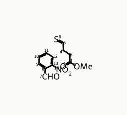 COC(=O)CCC=S.O=Cc1ccccc1[N+](=O)[O-]